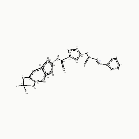 O=C(/C=C/c1ccccc1)Cc1nc(C(=O)Nc2nc3cc4c(cc3[nH]2)OC(F)(F)O4)co1